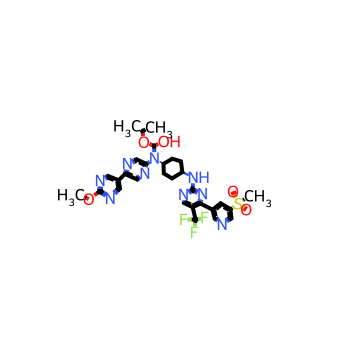 COc1ncc(-c2cnc(N(C(O)OC(C)C)[C@H]3CC[C@H](Nc4ncc(C(F)(F)F)c(-c5cncc(S(C)(=O)=O)c5)n4)CC3)cn2)cn1